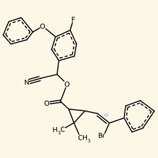 CC1(C)C(/C=C(\Br)c2ccccc2)C1C(=O)OC(C#N)c1ccc(F)c(Oc2ccccc2)c1